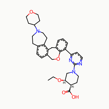 CCO[C@H]1CN(c2nccc(-c3cccc(C)c3OCc3ccc4c(c3C)CCN(C3CCOCC3)CC4)n2)CC[C@H]1C(=O)O